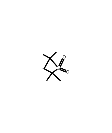 CC1(C)[CH]C(C)(C)S1(=O)=O